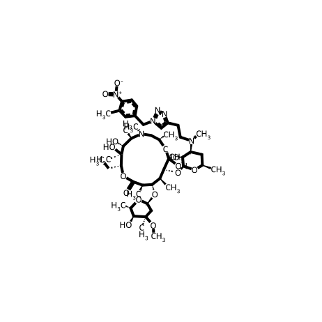 CC[C@H]1OC(=O)[C@H](C)[C@@H](O[C@H]2C[C@@](C)(OC)[C@@H](O)[C@H](C)O2)[C@H](C)[C@@H](O[C@@H]2O[C@H](C)C[C@H](N(C)CCc3cn(Cc4ccc([N+](=O)[O-])c(C)c4)nn3)[C@H]2O)[C@](C)(O)C[C@@H](C)CN(C)[C@H](C)[C@@H](O)[C@]1(C)O